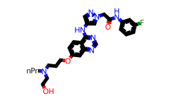 CCCN(CCO)CCCOc1ccc2c(Nc3cnn(CC(=O)Nc4cccc(F)c4)c3)ncnc2c1